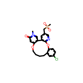 Cn1cc2c(cc1=O)OCCCCc1cc(Cl)ccc1Oc1ncc(CS(C)(=O)=O)cc1-2